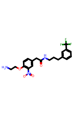 NCCOc1ccc(CC(=O)NCCCc2cccc(C(F)(F)F)c2)cc1[N+](=O)[O-]